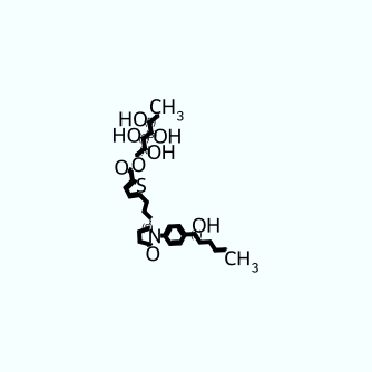 CCCCC[C@H](O)c1ccc(N2C(=O)CC[C@@H]2CCCc2ccc(C(=O)OC[C@@H](O)[C@H](O)[C@@H](O)[C@H](O)CC)s2)cc1